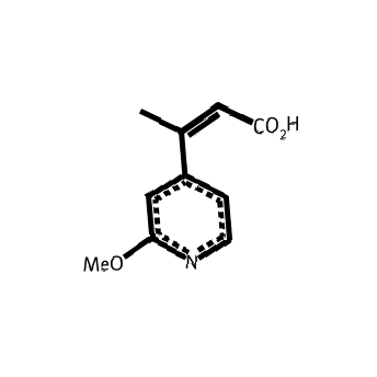 COc1cc(/C(C)=C\C(=O)O)ccn1